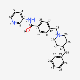 O=C(Nc1cccnc1)c1ccc(CN2CCC(Cc3ccccc3)CC2)cc1